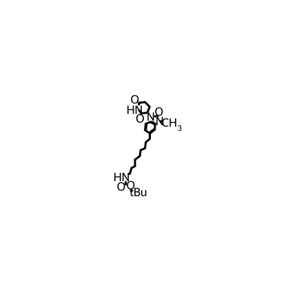 Cn1c(=O)n(C2CCC(=O)NC2=O)c2ccc(CCCCCCCCCNC(=O)OC(C)(C)C)cc21